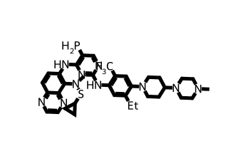 CCc1cc(Nc2ncc(P)c(Nc3ccc4nccnc4c3N(C)SC3CC3)n2)c(C(F)(F)F)cc1N1CCC(N2CCN(C)CC2)CC1